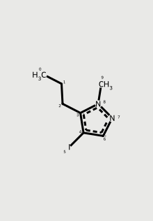 CCCc1c(I)[c]nn1C